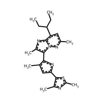 CCC(CC)c1cc(C)nn2c(-c3sc(-c4sc(C)nc4C)cc3C)c(C)nc12